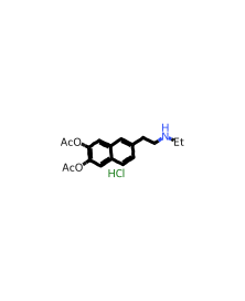 CCNCCc1ccc2cc(OC(C)=O)c(OC(C)=O)cc2c1.Cl